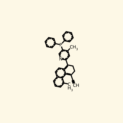 C#CC1=c2c(ccc3cccc(C)c23)=C(c2cc(C)c(P(c3ccccc3)c3ccccc3)cn2)CC1